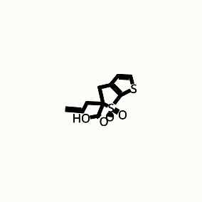 C=CCC1(C(=O)O)Cc2ccsc2S1(=O)=O